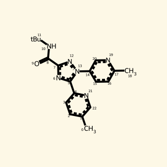 Cc1ccc(-c2nc(C(=O)NC(C)(C)C)nn2-c2ccc(C)nc2)nc1